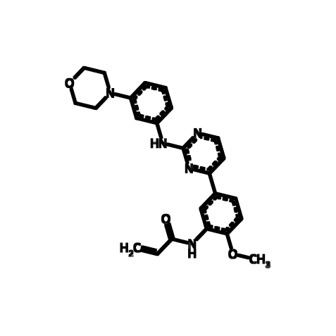 C=CC(=O)Nc1cc(-c2ccnc(Nc3cccc(N4CCOCC4)c3)n2)ccc1OC